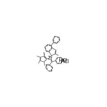 CC1=Cc2c(-c3ccccc3)cccc2[CH]1[Zr]([C]1=C(C)C(C)=C(C)C1C)=[C](c1ccccc1)c1ccccc1.Cl.Cl